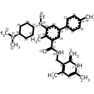 C=C1NC(C)=CC(C)=C1CNC(=O)c1cc(-c2ccc(C)cc2)cc(N(CC)[C@H]2CC[C@H](N(C)C)CC2)c1C